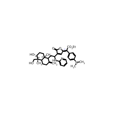 C=C1CCC2[C@](C)(CC[C@@H](O)[C@@]2(C)CO)C1CC(Nc1ccccn1)C1=C/C(=C(/C(=O)OCC)c2ccc(N(C)C)cc2)OC1=O